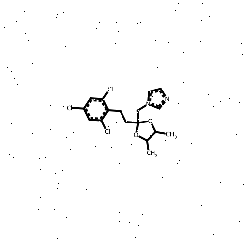 CC1OC(CCc2c(Cl)cc(Cl)cc2Cl)(Cn2ccnc2)OC1C